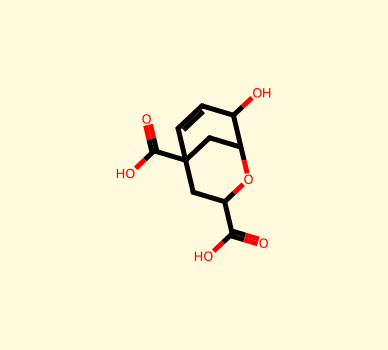 O=C(O)C1CC2(C(=O)O)C=CC(O)C(C2)O1